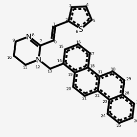 C(=Cc1cccs1)C1=NCCCN1Cc1cccc2c1ccc1c3ccccc3ccc21